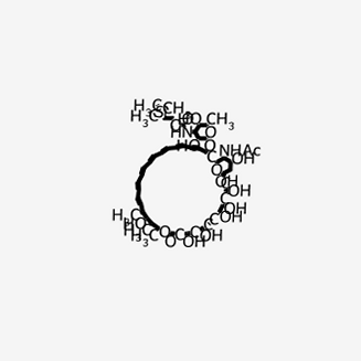 CC(=O)NC1C(O)CC2(O)CC(O)CC(O)C(O)CCC(O)CC(O)CC(=O)OC(C)C(C)C(O)C(C)/C=C/C=C/C=C/C=C/C=C/C=C/C=C/C(OC3OC(C)C(O)C(NC(=O)OCC[Si](C)(C)C)C3O)CC1O2